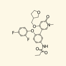 CCS(=O)(=O)Nc1ccc(Oc2ccc(F)cc2F)c(-c2cn(C)c(=O)cc2OCC2CCOC2)c1